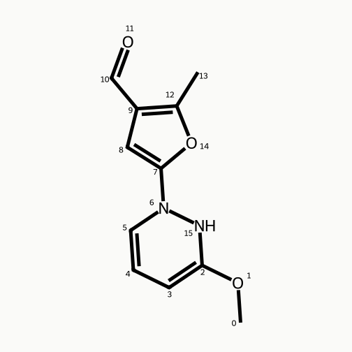 COC1=CC=CN(c2cc(C=O)c(C)o2)N1